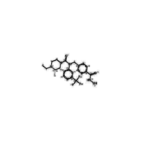 CCN1CCN(C(=O)N(Cc2ccc(C(=O)NO)cc2)c2cccc(C(F)(F)F)c2)C[C@@H]1C